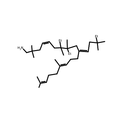 CCC(C)(C)C/C=C(/CC/C=C(\C)CCC=C(C)C)CC(C)(CC)C(C)(CC)C/C=C\CC(C)(C)CN